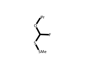 CSSC(F)OC(C)C